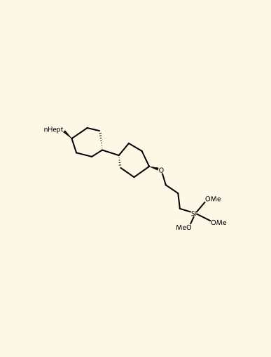 CCCCCCC[C@H]1CC[C@H]([C@H]2CC[C@H](OCCC[Si](OC)(OC)OC)CC2)CC1